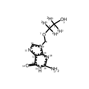 [2H]C([2H])(O)C([2H])([2H])OCn1cnc2c(=O)[nH]c(N)nc21